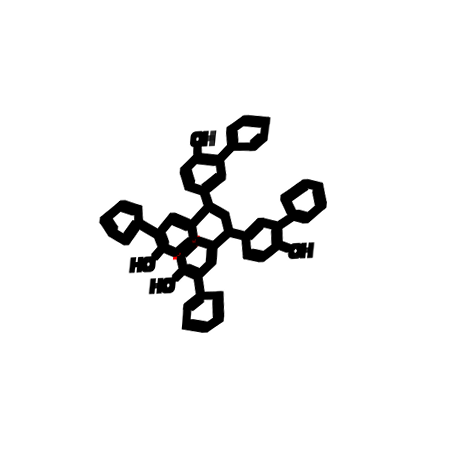 Oc1ccc(C(CC(c2ccc(O)c(-c3ccccc3)c2)c2ccc(O)c(-c3ccccc3)c2)c2ccc(O)c(-c3ccccc3)c2)cc1-c1ccccc1